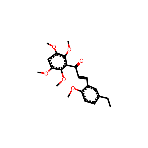 CCc1ccc(OC)c(/C=C/C(=O)c2c(OC)c(OC)cc(OC)c2OC)c1